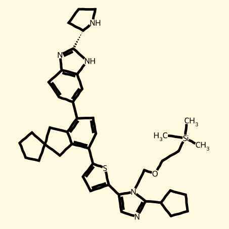 C[Si](C)(C)CCOCn1c(-c2ccc(-c3ccc(-c4ccc5nc([C@@H]6CCCN6)[nH]c5c4)c4c3CC3(CCCC3)C4)s2)cnc1C1CCCC1